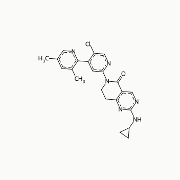 Cc1cnc(-c2cc(N3CCc4nc(NC5CC5)ncc4C3=O)ncc2Cl)c(C)c1